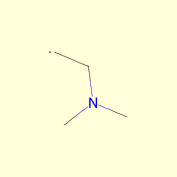 [CH2]CN(C)C